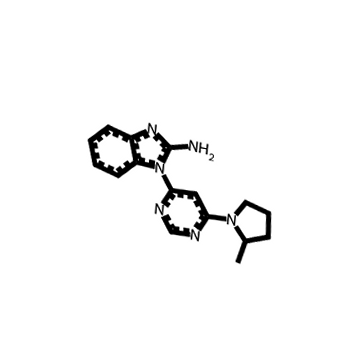 CC1CCCN1c1cc(-n2c(N)nc3ccccc32)ncn1